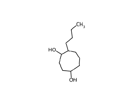 CCCCC1CCCC(O)CCC1O